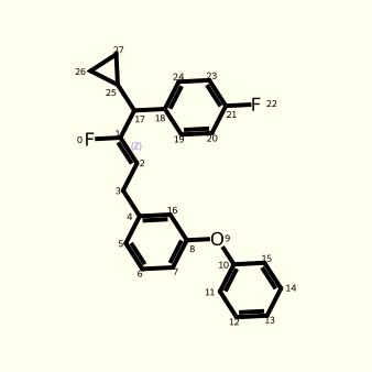 F/C(=C\Cc1cccc(Oc2ccccc2)c1)C(c1ccc(F)cc1)C1CC1